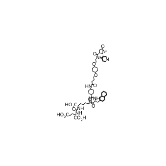 CN1C(=O)C[C@H](C(=O)NCCOC2CCC(OCCCC(=O)NC3CCC(C(=O)N[C@@H](Cc4ccc5ccccc5c4)C(=O)NCCCC[C@H](NC(=O)N[C@@H](CCC(=O)O)C(=O)O)C(=O)O)CC3)CC2)[C@H]1c1cccnc1